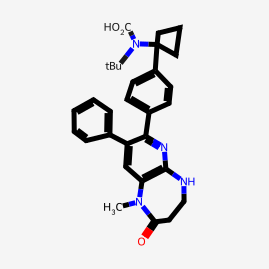 CN1C(=O)CCNc2nc(-c3ccc(C4(N(C(=O)O)C(C)(C)C)CCC4)cc3)c(-c3ccccc3)cc21